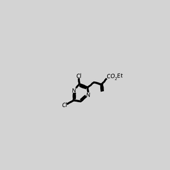 C=C(Cc1ncc(Cl)nc1Cl)C(=O)OCC